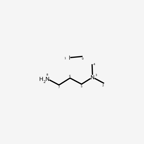 CI.CN(C)CCCN